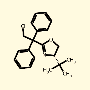 CC(C)(C)[C@H]1COC(C(CCl)(c2ccccc2)c2ccccc2)=N1